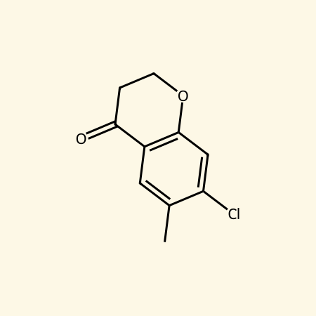 Cc1cc2c(cc1Cl)OCCC2=O